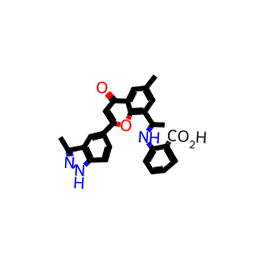 Cc1cc(C(C)Nc2ccccc2C(=O)O)c2oc(-c3ccc4[nH]nc(C)c4c3)cc(=O)c2c1